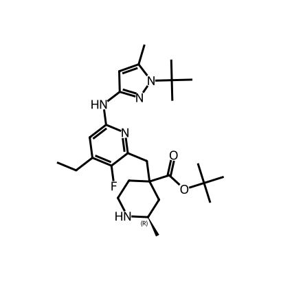 CCc1cc(Nc2cc(C)n(C(C)(C)C)n2)nc(CC2(C(=O)OC(C)(C)C)CCN[C@H](C)C2)c1F